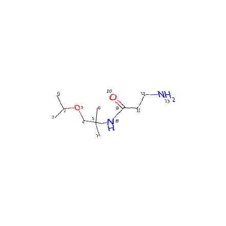 CC(C)OCC(C)(C)NC(=O)CCN